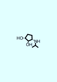 CC(C)N[C@H]1CC[C@@H](O)[C@@H]1O